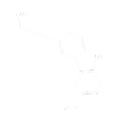 CCOC(=O)c1cc2c(cn1)[nH]c1ccc(C#CCOC)cc12